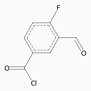 O=Cc1cc(C(=O)Cl)ccc1F